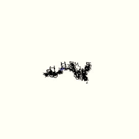 CC(C)(C)OC(=O)N[C@@H](CCCCC/C=C\[C@@H]1C[C@@H]1C(=O)NS(=O)(=O)C1CC1)C(=O)N1C[C@H](Oc2nc(-c3ccc(C(F)(F)F)cc3)nc3c2oc2ncccc23)C[C@H]1C(N)=O